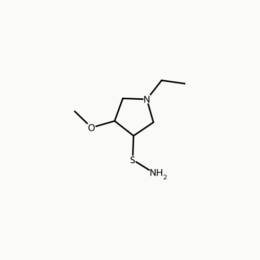 CCN1CC(OC)C(SN)C1